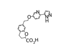 O=C(O)C1CCc2ccc(CCOc3ccc(-c4ccn[nH]4)nc3)cc2O1